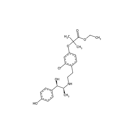 CCOC(=O)C(C)(C)Oc1ccc(CCN[C@@H](C)[C@H](O)c2ccc(O)cc2)c(Cl)c1